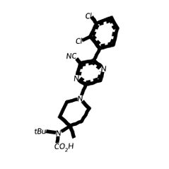 CC(C)(C)N(C(=O)O)C1(C)CCN(c2cnc(-c3cccc(Cl)c3Cl)c(C#N)n2)CC1